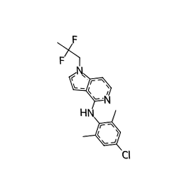 Cc1cc(Cl)cc(C)c1Nc1nccc2c1ccn2CC(C)(F)F